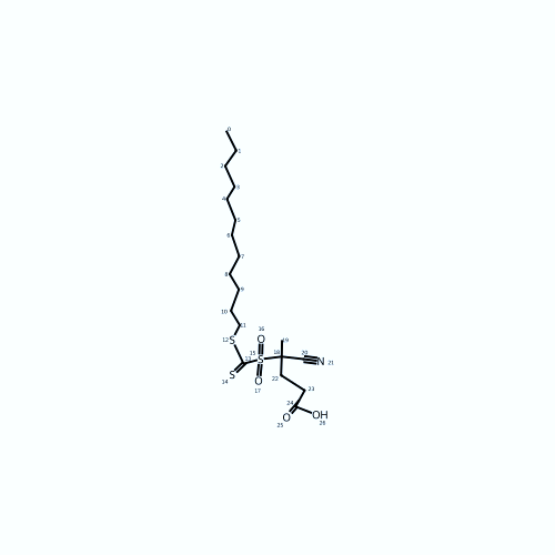 CCCCCCCCCCCCSC(=S)S(=O)(=O)C(C)(C#N)CCC(=O)O